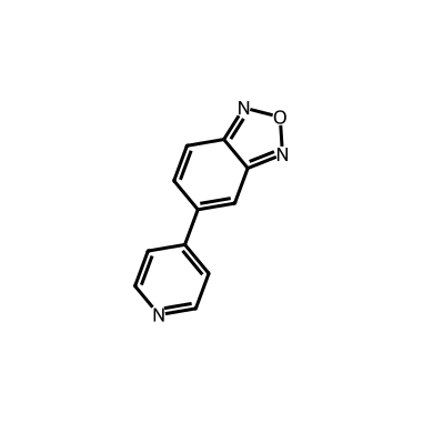 c1cc(-c2ccc3nonc3c2)ccn1